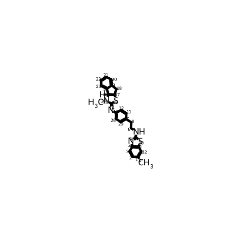 Cc1ccc2nc(NCCc3ccc(/N=C4\SC5Cc6ccccc6[C@@H]5N4C)cc3)sc2c1